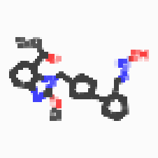 CCOc1nc2cccc(C(=O)OC)c2n1Cc1ccc(-c2ccccc2C=NNO)cc1